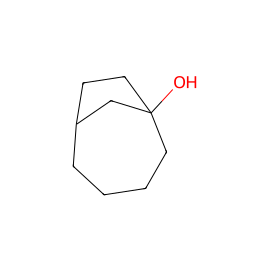 OC12CCCCC(CC1)C2